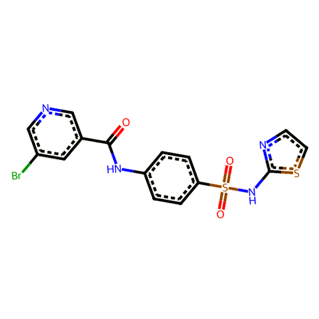 O=C(Nc1ccc(S(=O)(=O)Nc2nccs2)cc1)c1cncc(Br)c1